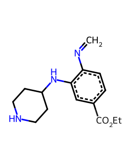 C=Nc1ccc(C(=O)OCC)cc1NC1CCNCC1